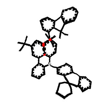 CC(C)(C)c1cc(-c2ccccc2N(c2ccc(-c3cccc4c3C(C)(C)c3ccccc3-4)cc2)c2ccc3c(c2)C2(CCCC2)c2ccccc2-3)cc(C(C)(C)C)c1